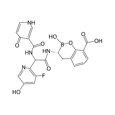 O=C(O)c1cccc2c1OB(O)[C@@H](NC(=O)C(NC(=O)c1c[nH]ccc1=O)c1ncc(O)cc1F)C2